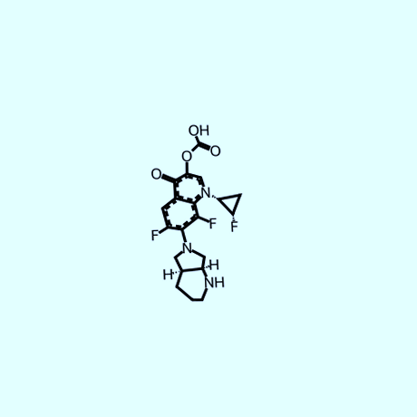 O=C(O)Oc1cn([C@@H]2C[C@@H]2F)c2c(F)c(N3C[C@@H]4CCCN[C@@H]4C3)c(F)cc2c1=O